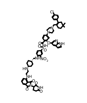 CC1(C)CCC(CN2CCN(c3ccc(C(=O)NS(=O)(=O)c4ccc(NC[C@H]5CC[C@H](NCCNc6cccc7c6C(=O)N(C6CCC(=O)NC6=O)C7=O)CC5)c([N+](=O)[O-])c4)c(Oc4cnc5[nH]ccc5c4)c3)CC2)=C(c2ccc(Cl)cc2)C1